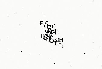 O=C(N[C@@H](c1ccc(C(F)(F)F)cc1F)C1CC1)[C@H]1C[C@H]2C#C[C@H]2N1C(=O)c1cccc(C(O)C(F)(F)F)c1